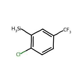 FC(F)(F)c1ccc(Cl)c([SiH3])c1